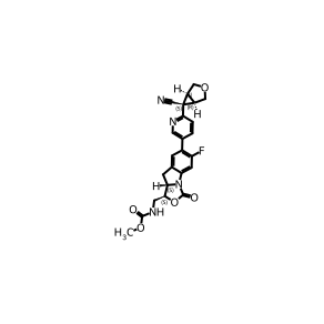 COC(=O)NC[C@@H]1OC(=O)N2c3cc(F)c(-c4ccc([C@@]5(C#N)[C@@H]6COC[C@@H]65)nc4)cc3C[C@@H]12